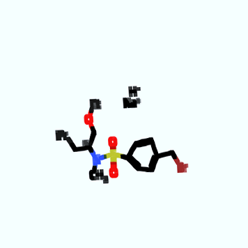 CCOC[C@H](CC(C)C)N(C)S(=O)(=O)c1ccc(CBr)cc1.[H-].[Na+]